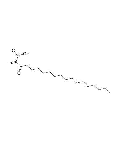 C=C(C(=O)O)C(=O)CCCCCCCCCCCCCCCC